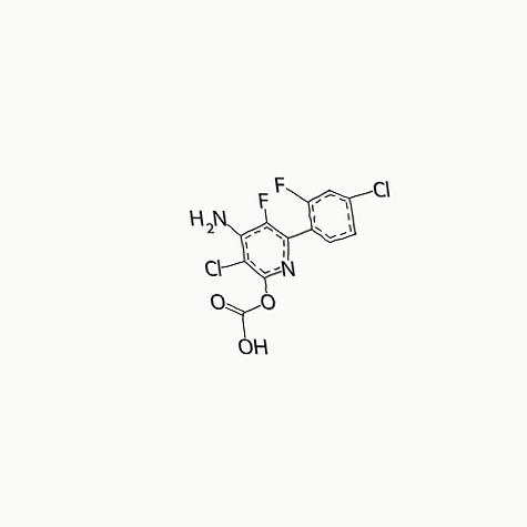 Nc1c(F)c(-c2ccc(Cl)cc2F)nc(OC(=O)O)c1Cl